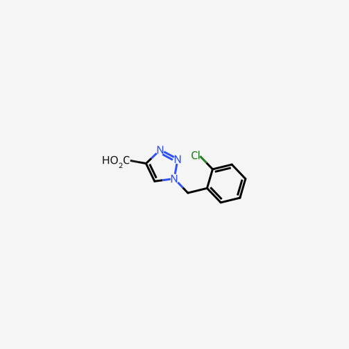 O=C(O)c1cn(Cc2ccccc2Cl)nn1